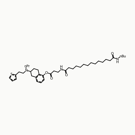 CCCCNC(=O)CCCCCCCCCCCCC(=O)NCCC(=O)Oc1cccc2c1CCC(N(CCC)CCc1cccs1)C2